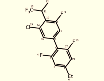 CCc1cc(F)c(-c2cc(F)c(C(C)C(F)(F)F)c(Cl)c2)c(F)c1